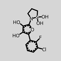 Oc1c(-c2cccc(Cl)c2F)oc(N2CCCS2(O)O)c1O